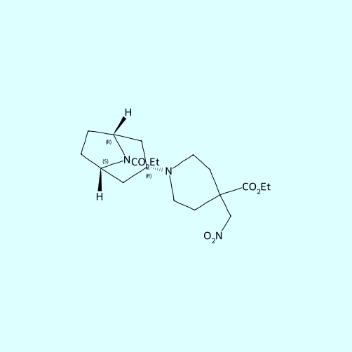 CCOC(=O)N1[C@@H]2CC[C@H]1C[C@@H](N1CCC(C[N+](=O)[O-])(C(=O)OCC)CC1)C2